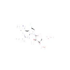 C[C@@]1(O)[C@H](O)[C@@H](CO)O[C@H]1n1cc(F)c2c(N)nc(N)nc21